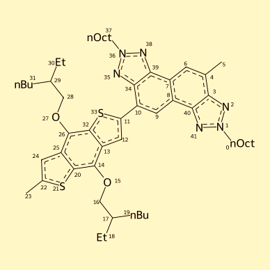 CCCCCCCCn1nc2c(C)cc3c(cc(-c4cc5c(OCC(CC)CCCC)c6sc(C)cc6c(OCC(CC)CCCC)c5s4)c4nn(CCCCCCCC)nc43)c2n1